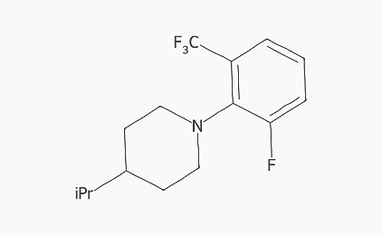 CC(C)C1CCN(c2c(F)cccc2C(F)(F)F)CC1